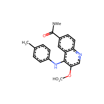 CNC(=O)c1ccc2ncc(OC(=O)O)c(Nc3ccc(C)cc3)c2c1